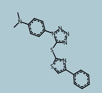 CN(C)c1ccc(-n2nnnc2Sc2nc(-c3ccccc3)cs2)cc1